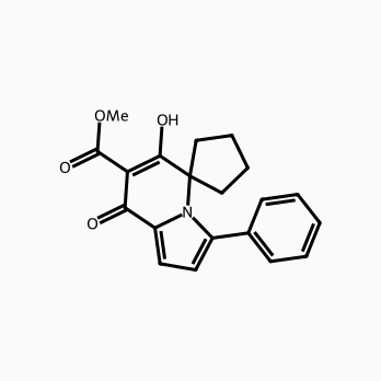 COC(=O)C1=C(O)C2(CCCC2)n2c(ccc2-c2ccccc2)C1=O